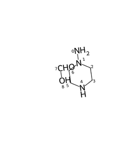 NN1CCNCC1.O=CO